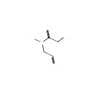 C=CCN(C(C)=O)C(=O)CC(C)(C)C